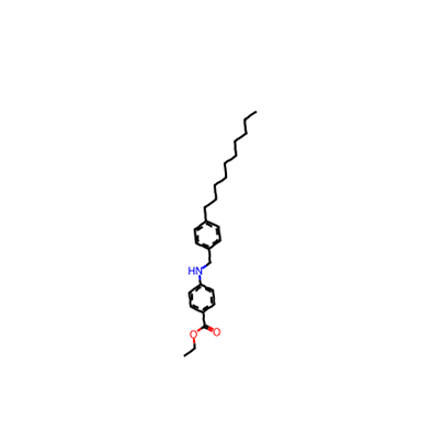 CCCCCCCCCCc1ccc(CNc2ccc(C(=O)OCC)cc2)cc1